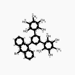 Cc1c(O)c(C)c(-c2cc(-c3c(O)c(C)c(C)c(O)c3O)cc(-c3c4ccccc4c(Br)c4ccccc34)c2)c(O)c1O